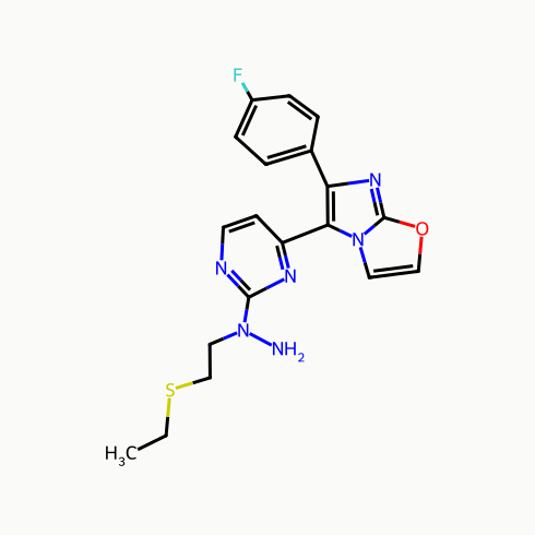 CCSCCN(N)c1nccc(-c2c(-c3ccc(F)cc3)nc3occn23)n1